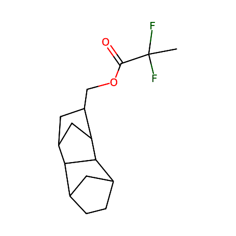 CC(F)(F)C(=O)OCC1CC2CC1C1C3CCC(C3)C21